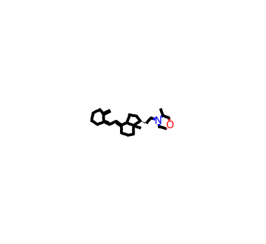 C=C1CCCC/C1=C/C=C1\CCCC2(C)C1CC[C@@H]2CCN1CCOCC1C